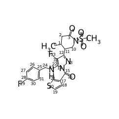 CC1CC(=O)N(S(C)(=O)=O)CC1c1nn(C(=O)c2ccsc2)c(NCc2ccc(F)cc2)c1F